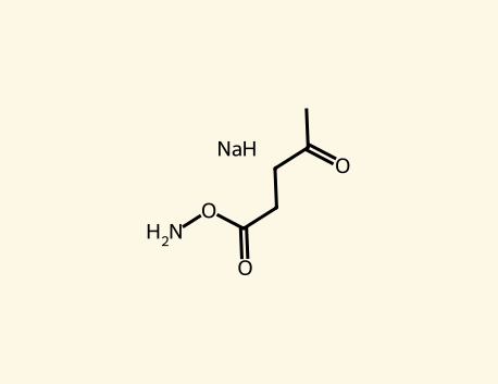 CC(=O)CCC(=O)ON.[NaH]